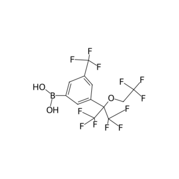 OB(O)c1cc(C(F)(F)F)cc(C(OCC(F)(F)F)(C(F)(F)F)C(F)(F)F)c1